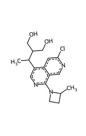 CC(c1cnc(N2CCC2C)c2cnc(Cl)cc12)C(CO)CO